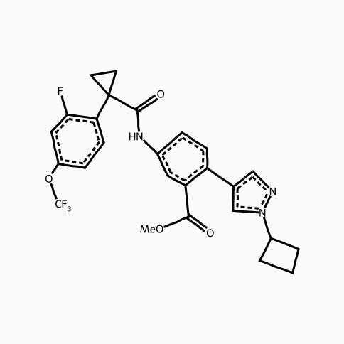 COC(=O)c1cc(NC(=O)C2(c3ccc(OC(F)(F)F)cc3F)CC2)ccc1-c1cnn(C2CCC2)c1